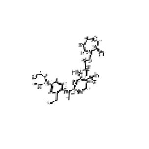 CCc1cc(N2CCOCC2)ccc1Nc1ncc(C(F)(F)F)c(NCCCN2CCCOCC2=O)n1